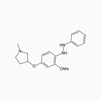 COc1cc(OC2CCN(C)C2)ccc1NNc1ccccc1